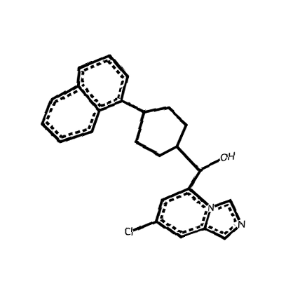 OC(c1cc(Cl)cc2cncn12)C1CCC(c2cccc3ccccc23)CC1